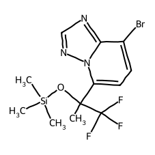 CC(O[Si](C)(C)C)(c1ccc(Br)c2ncnn12)C(F)(F)F